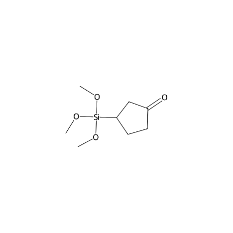 CO[Si](OC)(OC)C1CCC(=O)C1